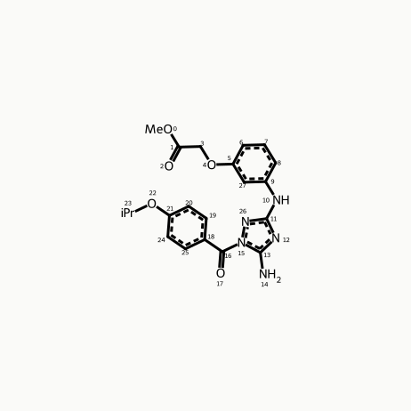 COC(=O)COc1cccc(Nc2nc(N)n(C(=O)c3ccc(OC(C)C)cc3)n2)c1